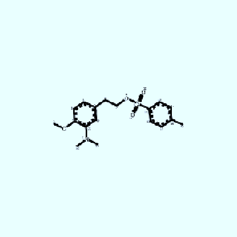 COc1ccc(CCOS(=O)(=O)c2ccc(C)cc2)cc1N(C)C